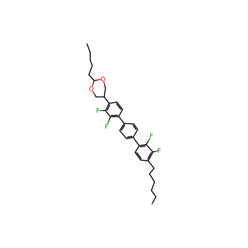 CCCCCCc1ccc(-c2ccc(-c3ccc(C4COC(CCCCC)OC4)c(F)c3F)cc2)c(F)c1F